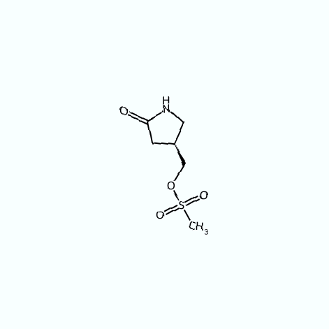 CS(=O)(=O)OC[C@@H]1CNC(=O)C1